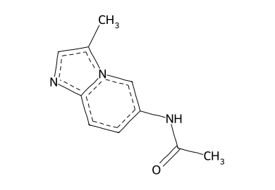 CC(=O)Nc1ccc2ncc(C)n2c1